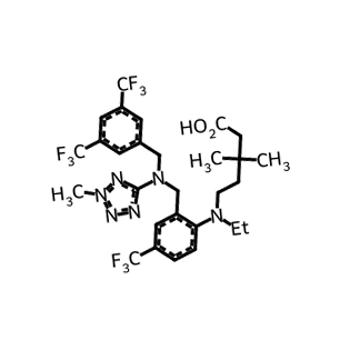 CCN(CCC(C)(C)CC(=O)O)c1ccc(C(F)(F)F)cc1CN(Cc1cc(C(F)(F)F)cc(C(F)(F)F)c1)c1nnn(C)n1